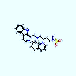 O=[SH](=O)NCCCCN(Cc1nccc2c1[nH]c1ccccc12)[C@H]1CCCc2cccnc21